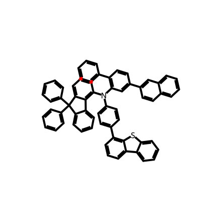 c1ccc(-c2ccc(-c3ccc4ccccc4c3)cc2N(c2ccc(-c3cccc4c3sc3ccccc34)cc2)c2cccc3c2-c2ccccc2C3(c2ccccc2)c2ccccc2)cc1